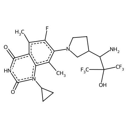 Cc1c(F)c(N2CCC(C(N)C(O)(C(F)(F)F)C(F)(F)F)C2)c(C)c2c1c(=O)[nH]c(=O)n2C1CC1